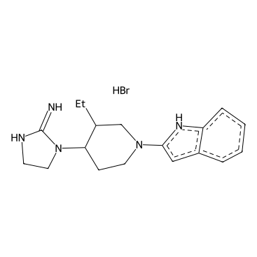 Br.CCC1CN(c2cc3ccccc3[nH]2)CCC1N1CCNC1=N